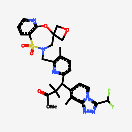 COC(=O)C(C)(C)C(c1ccc(C)c(CN2CC3(COC3)Oc3ncccc3S2(=O)=O)n1)c1ccn2c(C(F)F)nnc2c1C